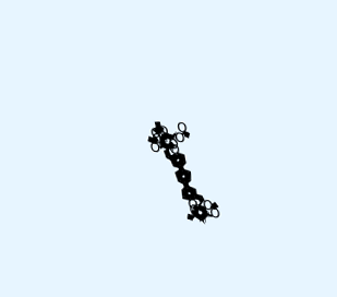 CC[C@H]1O[C@@]2(CCc3cc(-c4ccc(-c5ccc6c(c5)CC[C@]5(O6)O[C@H](COC(C)=O)[C@@H](OC(C)=O)[C@H](OC(C)=O)[C@@H]5C)cc4)ccc3O2)[C@@H](OC(C)=O)[C@@H](C)[C@@H]1C